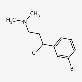 CN(C)CCC(Cl)c1cccc(Br)c1